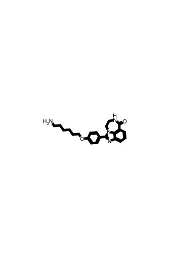 NCCCCCCOc1ccc(-c2nc3cccc4c3n2CCNC4=O)cc1